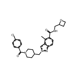 Cc1c(C(=O)NCC2CCO2)ccc2nn(CC3CCN(C(=O)c4ccc(Cl)cc4)CC3)cc12